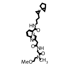 COCCN(C)C(=O)CNC(=O)Cc1cn2c(C(=O)NCCCC3C[C@@H]3C34CCCC3C4)cccc2n1